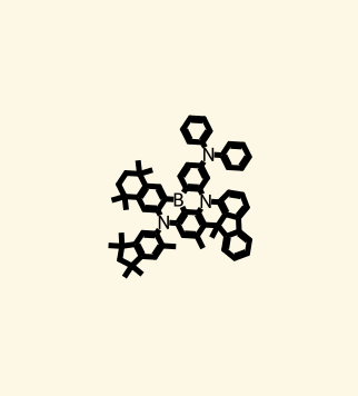 Cc1cc2c(cc1N1c3cc4c(cc3B3c5ccc(N(c6ccccc6)c6ccccc6)cc5N5c6cccc7c6C(C)(c6ccccc6-7)c6c(C)cc1c3c65)C(C)(C)CCC4(C)C)C(C)(C)CC2(C)C